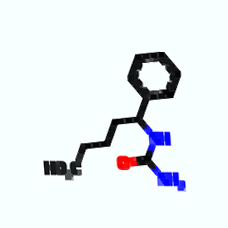 NC(=O)NC(CCCC(=O)O)c1ccccc1